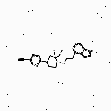 C#Cc1ccc(C2CC[C@@H](CCCc3nccc4[nH]ccc34)[C@@](C)(CC)C2)nc1